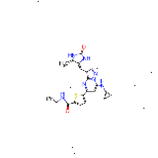 C=c1[nH]c(=O)[nH]/c1=C\c1cnn2c(NC3CC3)cc(-c3ccc(C(=O)NCC(C)C)s3)nc12